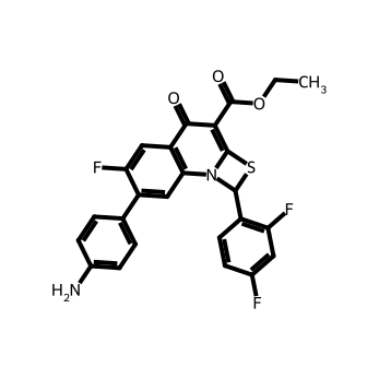 CCOC(=O)c1c2n(c3cc(-c4ccc(N)cc4)c(F)cc3c1=O)C(c1ccc(F)cc1F)S2